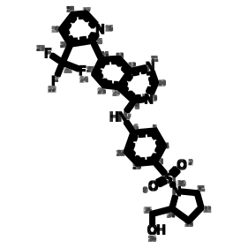 O=S(=O)(c1ccc(Nc2ncnc3cc(-c4ncccc4C(F)(F)F)ccc23)cc1)N1CCCC1CO